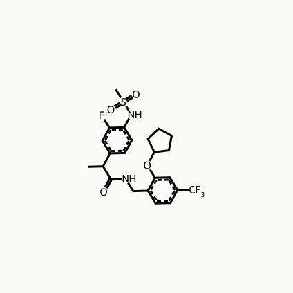 CC(C(=O)NCc1ccc(C(F)(F)F)cc1OC1CCCC1)c1ccc(NS(C)(=O)=O)c(F)c1